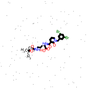 CC(C)(C)OC(=O)NCCC[C@H](NC(=O)c1cccn(Cc2cc(Br)cc(Br)c2)c1=O)C(=O)O